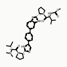 COC(=O)N[C@H](C(=O)N1CCC[C@H]1c1nc2ccc(-c3ccc(-c4cnc([C@@H]5CCCN5C(=O)[C@@H](C(C)C)N(C)C)[nH]4)cc3)cc2[nH]1)C(C)C